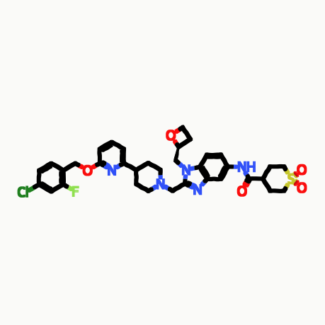 O=C(Nc1ccc2c(c1)nc(CN1CCC(c3cccc(OCc4ccc(Cl)cc4F)n3)CC1)n2C[C@@H]1CCO1)C1CCS(=O)(=O)CC1